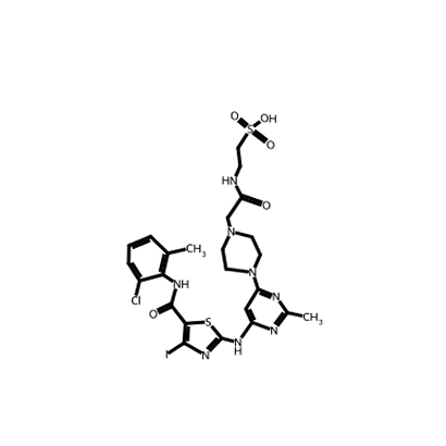 Cc1nc(Nc2nc(I)c(C(=O)Nc3c(C)cccc3Cl)s2)cc(N2CCN(CC(=O)NCCS(=O)(=O)O)CC2)n1